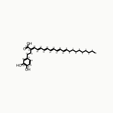 CCCCCCCCC/C=C/C=C/C=C/C=C/C=C/C=C(\CCc1ccc(O)c(O)c1)C(=O)O